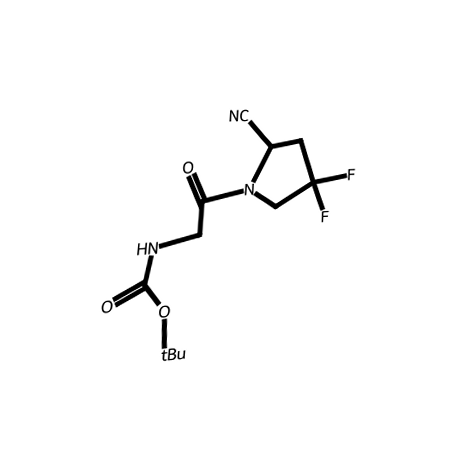 CC(C)(C)OC(=O)NCC(=O)N1CC(F)(F)CC1C#N